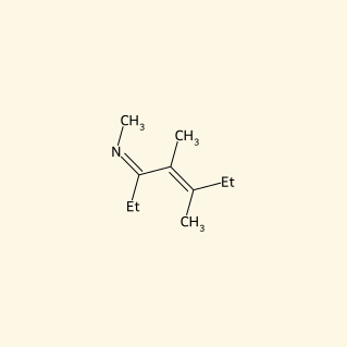 CCC(=N/C)/C(C)=C(\C)CC